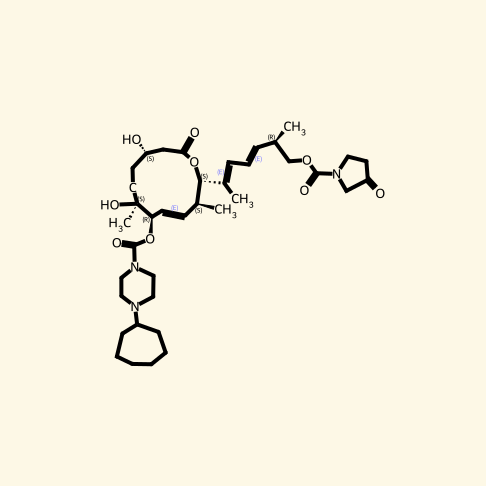 C/C(=C\C=C\[C@@H](C)COC(=O)N1CCC(=O)C1)[C@H]1OC(=O)C[C@@H](O)CC[C@](C)(O)[C@H](OC(=O)N2CCN(C3CCCCCC3)CC2)/C=C/[C@@H]1C